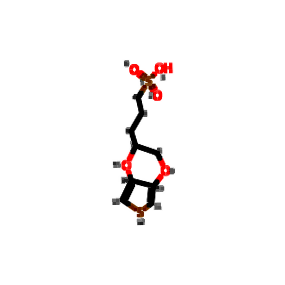 O=S(=O)(O)CCCC1COc2cscc2O1